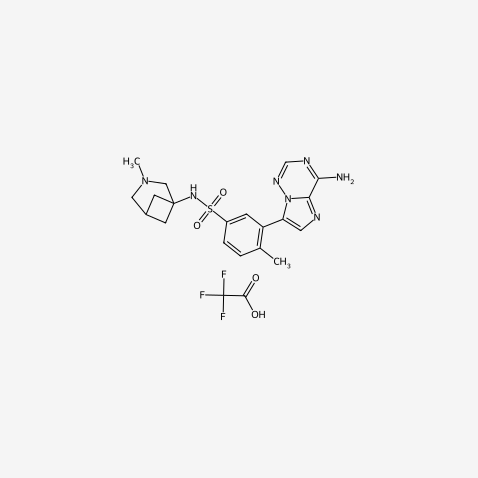 Cc1ccc(S(=O)(=O)NC23CC(CN(C)C2)C3)cc1-c1cnc2c(N)ncnn12.O=C(O)C(F)(F)F